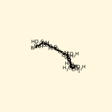 CC(C)(CC(=O)O)CC(C)(C)CC(=O)NCC1CCC(C(=O)NC(CCC(=O)NCCOCCOCC(=O)NCCOCCOCC(=O)NC(CCCCNC(=O)CBr)C(=O)O)C(=O)O)CC1